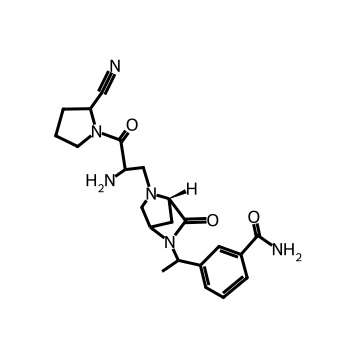 CC(c1cccc(C(N)=O)c1)N1C(=O)[C@@H]2CC1CN2CC(N)C(=O)N1CCCC1C#N